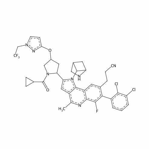 Cc1nc2c(F)c(-c3cccc(Cl)c3Cl)c(CCC#N)cc2c2c1cc(C1CC(Oc3ccn(CC(F)(F)F)n3)CN1C(=O)C1CC1)n2C1C2CNC1C2